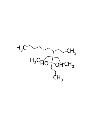 CCCCCCC(CCC)C(CCC)(CCC)C(O)(O)CCC